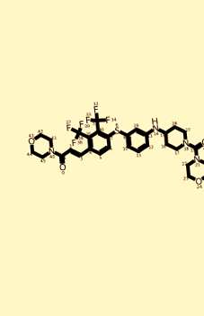 O=C(C=Cc1ccc(Sc2cccc(NC3CCN(C(=O)N4CCOCC4)CC3)c2)c(C(F)(F)F)c1C(F)(F)F)N1CCOCC1